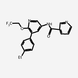 CCc1ccc(-c2cc(NC(=O)c3cccnc3)cnc2OCC(F)(F)F)cc1